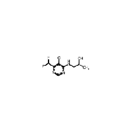 C[C@H](O)CNc1ncnc(C(F)F)c1Cl